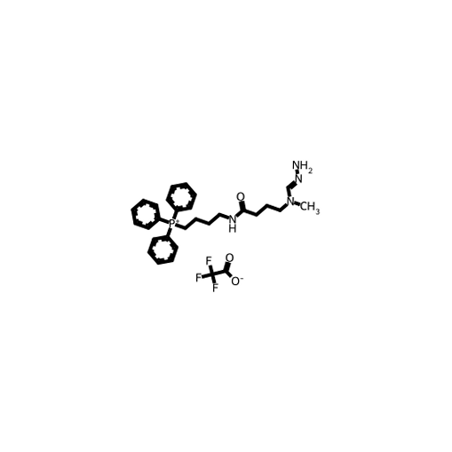 CN(C=NN)CCCC(=O)NCCCC[P+](c1ccccc1)(c1ccccc1)c1ccccc1.O=C([O-])C(F)(F)F